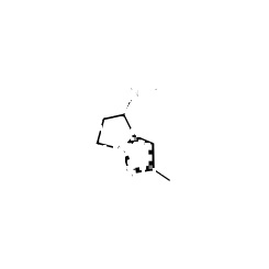 CC(=O)N[C@@H]1CCn2nc(C)cc21